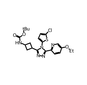 CCOc1ccc(-c2nnc(C3CC(NC(=O)OC(C)(C)C)C3)n2-c2ccc(Cl)s2)nc1